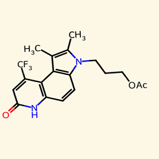 CC(=O)OCCCn1c(C)c(C)c2c3c(C(F)(F)F)cc(=O)[nH]c3ccc21